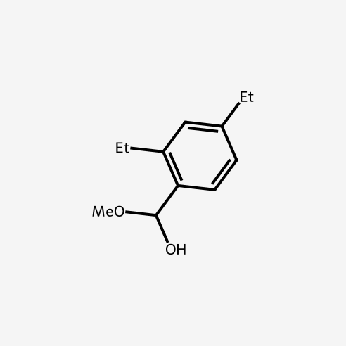 CCc1ccc(C(O)OC)c(CC)c1